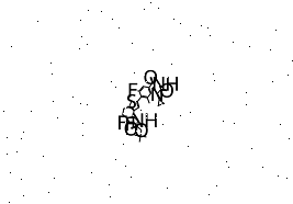 Cc1c(-c2cc3c(s2)CCC(F)(F)C3NC(=O)OC(C)(C)C)c(F)cc2c(=O)[nH]c(=O)n(C3CC3)c12